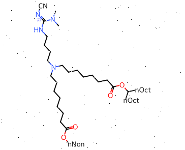 CCCCCCCCCOC(=O)CCCCCCCN(CCCCCCCC(=O)OC(CCCCCCCC)CCCCCCCC)CCCCN/C(=N/C#N)N(C)C